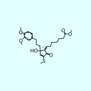 COC(=O)CCCCC/C=C1\C(=O)C(SC)=CC1(O)CCCc1ccc(OC)c(OC)c1